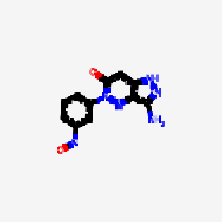 Nc1n[nH]c2cc(=O)n(-c3cccc(N=O)c3)nc12